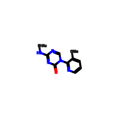 COc1cccnc1-n1cnc(NNC(C)=O)nc1=O